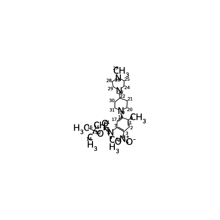 Cc1cc([N+](=O)[O-])c(N(C)C(=O)OC(C)(C)C)cc1N1CCC(N2CCN(C)CC2)CC1